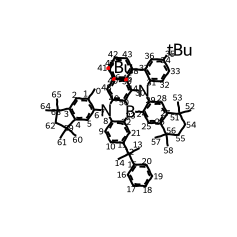 Cc1cc2c(cc1N1c3ccc(C(C)(C)c4ccccc4)cc3B3c4cc5c(cc4N(c4ccc(C(C)(C)C)cc4-c4ccccc4)c4cc(C(C)(C)C)cc1c43)C(C)(C)CCC5(C)C)C(C)(C)CC2(C)C